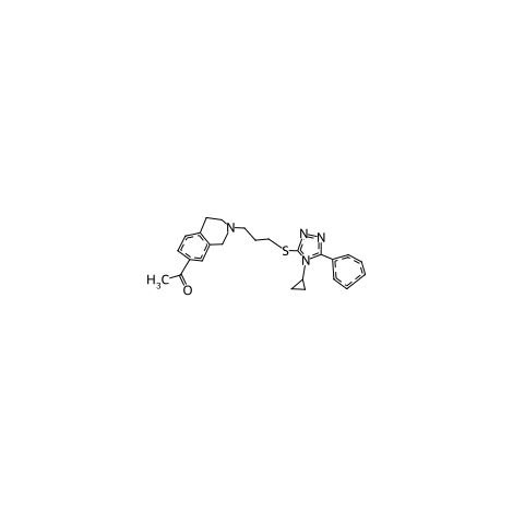 CC(=O)c1ccc2c(c1)CN(CCCSc1nnc(-c3ccccc3)n1C1CC1)CC2